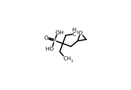 CCC(CC)(CC1CO1)P(=O)(O)O